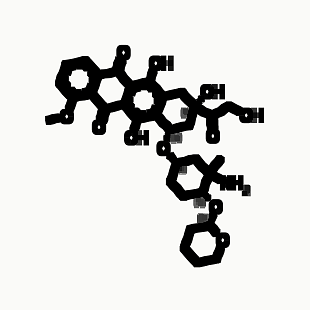 COc1cccc2c1C(=O)c1c(O)c3c(c(O)c1C2=O)C[C@@](O)(C(=O)CO)C[C@@H]3O[C@@H]1CC[C@@H](O[C@@H]2CCCCO2)C(C)(N)C1